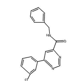 O=C(NCc1ccccc1)c1cc(-c2cccc(Cl)c2)ncn1